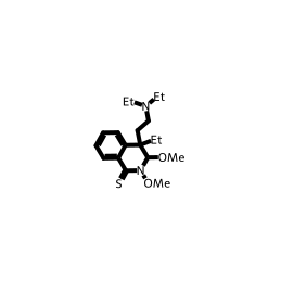 CCN(CC)CCC1(CC)c2ccccc2C(=S)N(OC)C1OC